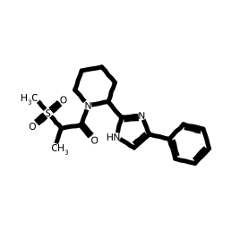 CC(C(=O)N1CCCCC1c1nc(-c2ccccc2)c[nH]1)S(C)(=O)=O